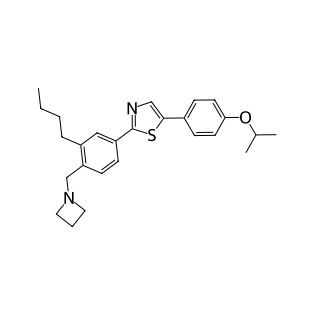 CCCCc1cc(-c2ncc(-c3ccc(OC(C)C)cc3)s2)ccc1CN1CCC1